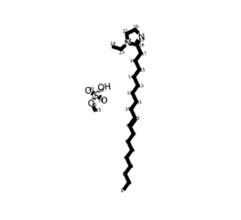 CCCCCCCCC=CCCCCCCCCC1=NCCN1CC.COS(=O)(=O)O